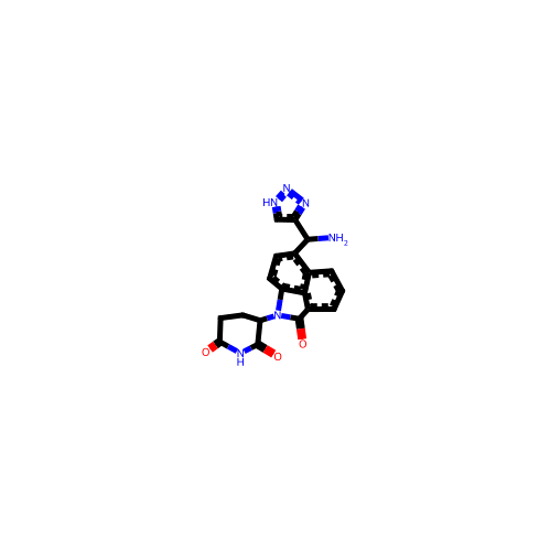 NC(c1c[nH]nn1)c1ccc2c3c(cccc13)C(=O)N2C1CCC(=O)NC1=O